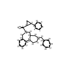 O=C(C1CC1c1ccccc1)N1Cc2ccccc2N2CCN(Cc3ccccc3)CC2C1